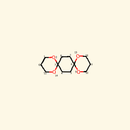 C1COC2(CCC3(CC2)OCCCO3)OC1